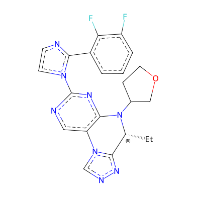 CC[C@@H]1c2nncn2-c2cnc(-n3ccnc3-c3cccc(F)c3F)nc2N1C1CCOC1